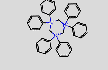 c1ccc([N+]2(c3ccccc3)C[N+](c3ccccc3)(c3ccccc3)C[N+](c3ccccc3)(c3ccccc3)C2)cc1